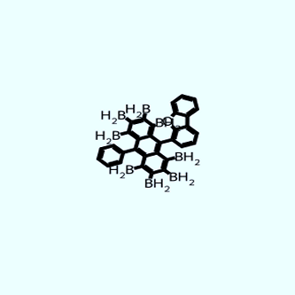 Bc1c(B)c(B)c2c(-c3cccc4c3oc3ccccc34)c3c(B)c(B)c(B)c(B)c3c(-c3ccccc3)c2c1B